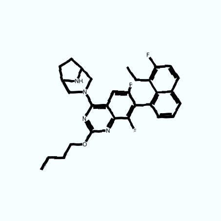 CCCCOc1nc(N2CC3CCC(C2)N3)c2cc(F)c(-c3cccc4ccc(F)c(CC)c34)c(F)c2n1